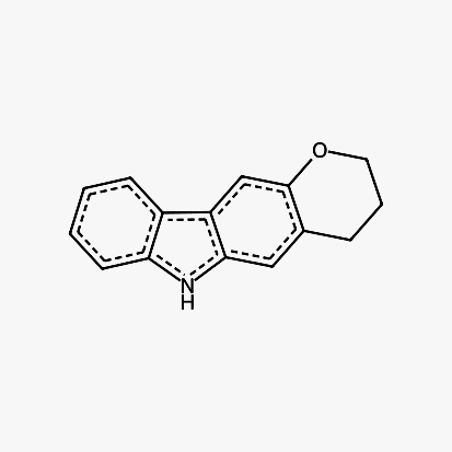 c1ccc2c(c1)[nH]c1cc3c(cc12)OCCC3